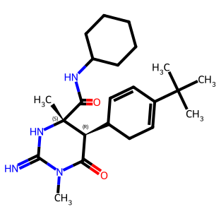 CN1C(=N)N[C@](C)(C(=O)NC2CCCCC2)[C@@H](C2C=CC(C(C)(C)C)=CC2)C1=O